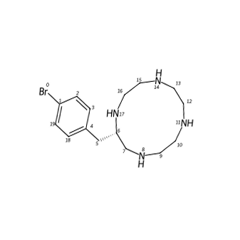 Brc1ccc(C[C@H]2CNCCNCCNCCN2)cc1